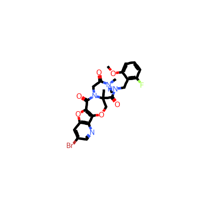 COc1cccc(F)c1CNC(=O)C1(C)COc2c(oc3cc(Br)cnc23)C(=O)N1CC(=O)N(C)C